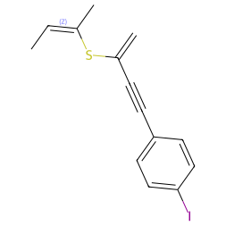 C=C(C#Cc1ccc(I)cc1)S/C(C)=C\C